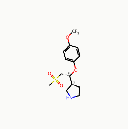 CS(=O)(=O)C[C@H](Oc1ccc(OC(F)(F)F)cc1)[C@H]1CCNC1